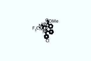 COC(=O)[C@@H](NC(=O)c1cnc(C(F)(F)F)nc1N1CC(c2ccccc2)C(c2ccc(Cl)cc2)=N1)C1CCCCC1